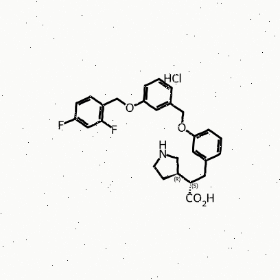 Cl.O=C(O)[C@@H](Cc1cccc(OCc2cccc(OCc3ccc(F)cc3F)c2)c1)[C@H]1CCNC1